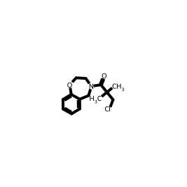 CC(C)(CCl)C(=O)N1CCOc2ccccc2C1